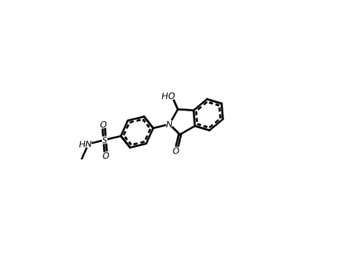 CNS(=O)(=O)c1ccc(N2C(=O)c3ccccc3C2O)cc1